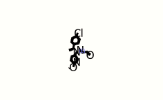 C=C(c1ccc(Cl)cc1)N(/N=C/C=O)c1ccc(OC)nc1